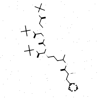 CC(CCC[C@H](NC(=O)N[C@@H](CCC(=O)OC(C)(C)C)C(=O)OC(C)(C)C)C(=O)OC(C)(C)C)NC(=O)[C@@H](N)Cc1c[nH]cn1